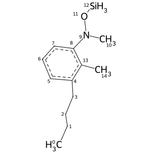 CCCCc1cccc(N(C)O[SiH3])c1C